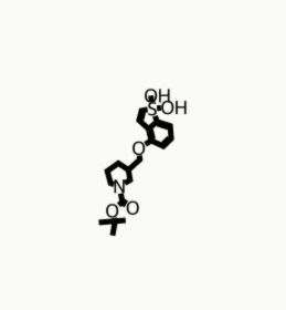 CC(C)(C)OC(=O)N1CCCC(COc2cccc3c2C=CS3(O)O)C1